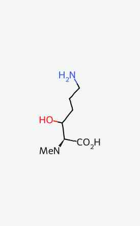 CN[C@H](C(=O)O)C(O)CCCN